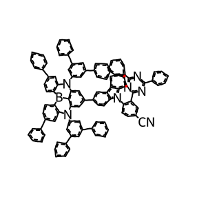 N#Cc1ccc(-n2c3ccccc3c3cc(-c4cc5c6c(c4)N(c4cc(-c7ccccc7)cc(-c7ccccc7)c4)c4cc(-c7ccccc7)ccc4B6c4ccc(-c6ccccc6)cc4N5c4cc(-c5ccccc5)cc(-c5ccccc5)c4)ccc32)c(-c2nc(-c3ccccc3)nc(-c3ccccc3)n2)c1